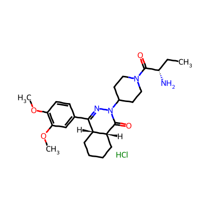 CC[C@H](N)C(=O)N1CCC(N2N=C(c3ccc(OC)c(OC)c3)[C@H]3CCCC[C@H]3C2=O)CC1.Cl